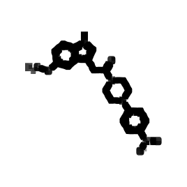 COc1ccc2[nH]cc(CC(=O)N3CCN(c4ccc([N+](=O)[O-])cc4)CC3)c2c1